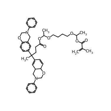 C=C(C)C(=O)OC(C)OCCCCOC(C)OC(=O)CCC(C)(C1=CC2CN(c3ccccc3)COC2C=C1)c1ccc2c(c1)CN(c1ccccc1)CO2